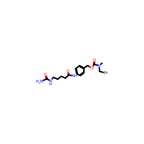 CC(C)CN(C)C(=O)OCc1ccc(NC(=O)CCCCNC(N)=O)cc1